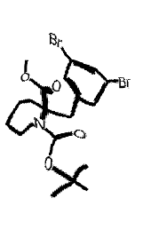 COC(=O)C1(Cc2cc(Br)cc(Br)c2)CCCN1C(=O)OC(C)(C)C